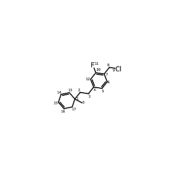 CC1(CCc2ccc(CCl)c(F)c2)C=CC=CC1